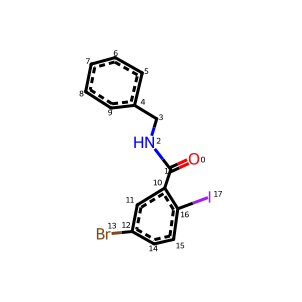 O=C(NCc1ccccc1)c1cc(Br)ccc1I